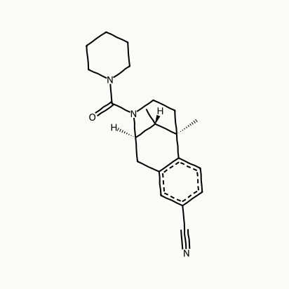 C[C@H]1[C@H]2Cc3cc(C#N)ccc3[C@]1(C)CCN2C(=O)N1CCCCC1